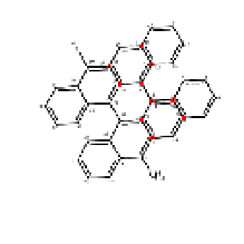 Cc1cc(P(c2ccccc2)c2ccccc2)c(-c2c(P(c3ccccc3)c3ccccc3)cc(I)c3ccccc23)c2ccccc12